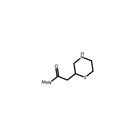 CNC(=O)CC1CNCCS1